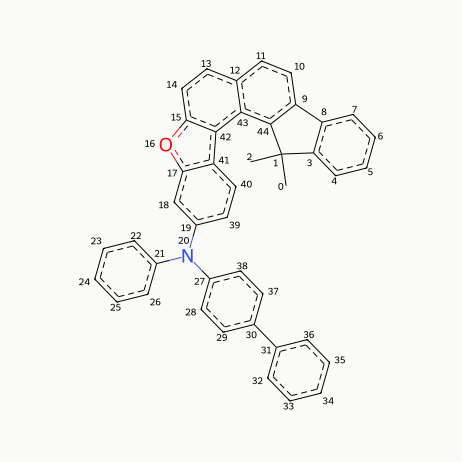 CC1(C)c2ccccc2-c2ccc3ccc4oc5cc(N(c6ccccc6)c6ccc(-c7ccccc7)cc6)ccc5c4c3c21